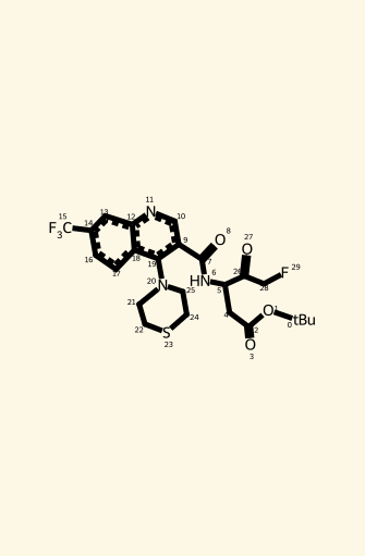 CC(C)(C)OC(=O)CC(NC(=O)c1cnc2cc(C(F)(F)F)ccc2c1N1CCSCC1)C(=O)CF